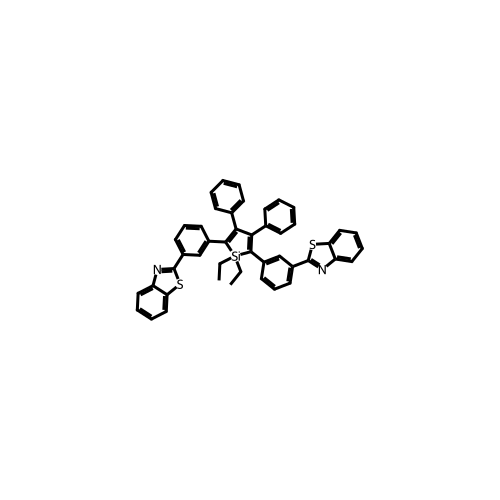 CC[Si]1(CC)C(c2cccc(-c3nc4ccccc4s3)c2)=C(c2ccccc2)C(c2ccccc2)=C1c1cccc(-c2nc3ccccc3s2)c1